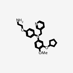 COc1ccc(N(Cc2cccnc2)c2ccc(OCCN)cc2)cc1OC1CCCC1